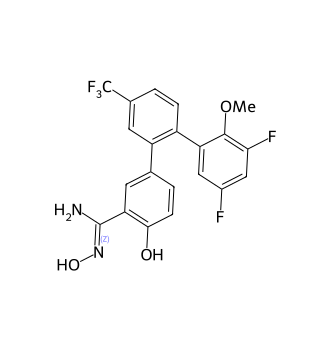 COc1c(F)cc(F)cc1-c1ccc(C(F)(F)F)cc1-c1ccc(O)c(/C(N)=N/O)c1